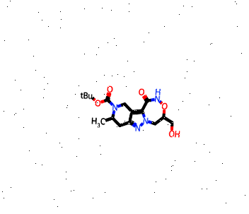 CC1Cc2nn3c(c2CN1C(=O)OC(C)(C)C)C(=O)NOC(CO)C3